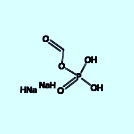 O=COP(=O)(O)O.[NaH].[NaH]